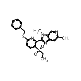 CCS(=O)(=O)c1ccc(SCc2ccccc2)nc1-c1nc2cc(C)ncc2n1C